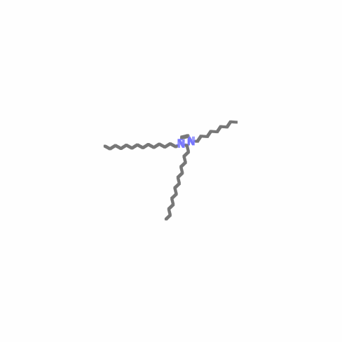 CCCCCCCCCCCCCCC1N(CCCCCCCCC)C=CN1CCCCCCCCCCCCCC